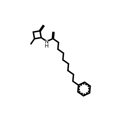 C=C(CCCCCCCCc1ccccc1)NC1C(=C)CC1C